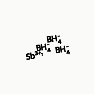 [BH4-].[BH4-].[BH4-].[Sb+3]